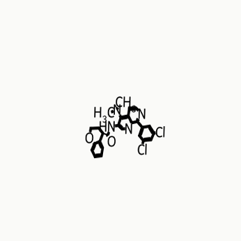 CN(C)c1c(NC(=O)[C@@H]2CCOc3ccccc32)cnc2c(-c3cc(Cl)cc(Cl)c3)nccc12